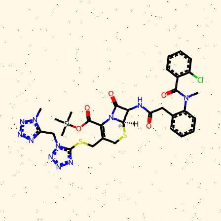 CN(C(=O)c1ccccc1Cl)c1ccccc1CC(=O)NC1C(=O)N2C(C(=O)O[Si](C)(C)C)=C(CSc3nnnn3Cc3nnnn3C)CS[C@H]12